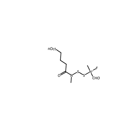 CCCCCCCCCCCC(=O)N(C)SS[N+](C)(F)C=O